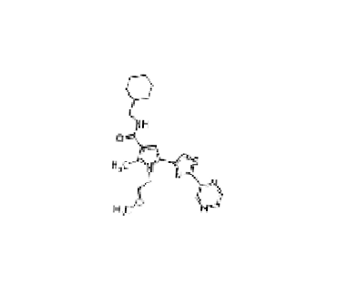 COCCn1c(-c2csc(-c3cnccn3)n2)cc(C(=O)NCC2CCCCC2)c1C